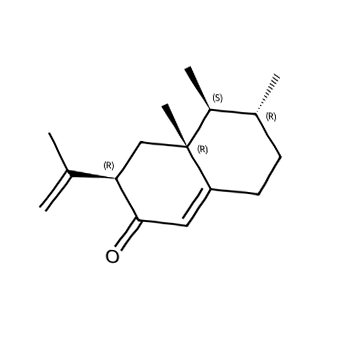 C=C(C)[C@H]1C[C@@]2(C)C(=CC1=O)CC[C@@H](C)[C@@H]2C